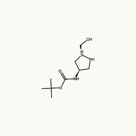 CC(C)(C)OC(=O)N[C@@H]1CN[Si@H](CO)C1